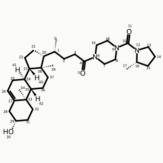 C[C@H](CCC(=O)N1CCN(C(=O)N2CCC[C@@H]2C)CC1)[C@H]1CC[C@H]2[C@@H]3CC=C4C[C@@H](O)CC[C@]4(C)[C@H]3CC[C@]12C